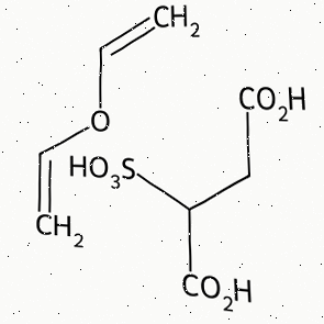 C=COC=C.O=C(O)CC(C(=O)O)S(=O)(=O)O